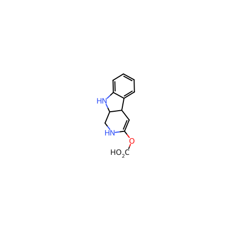 O=C(O)OC1=CC2c3ccccc3NC2CN1